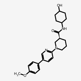 COc1ccc(-c2ccc(N3CCC[C@H](C(=O)NC4CCC(O)CC4)C3)nc2)cc1